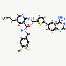 C=CCc1cnc(NCc2ccc(-c3ccc4ncnc(N)c4c3)s2)c(C(=O)NCc2ccc(F)c(F)c2)c1